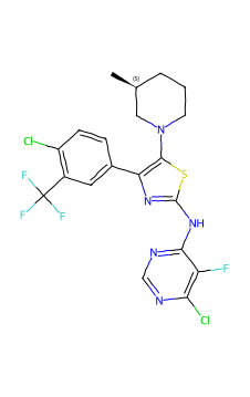 C[C@H]1CCCN(c2sc(Nc3ncnc(Cl)c3F)nc2-c2ccc(Cl)c(C(F)(F)F)c2)C1